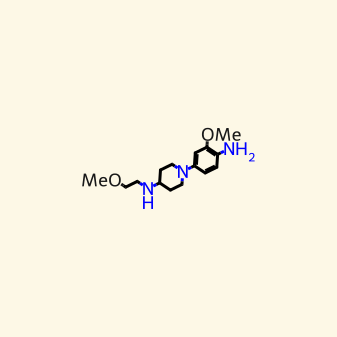 COCCNC1CCN(c2ccc(N)c(OC)c2)CC1